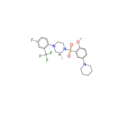 COc1ccc(N2CCCCC2)cc1S(=O)(=O)N1CCN(c2ccc(F)cc2C(F)(F)F)C[C@H]1C